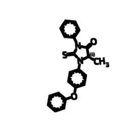 C[C@@H]1C(=O)N(c2ccccc2)C(=S)N1c1ccc(Oc2ccccc2)cc1